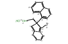 CCC1(c2cccc3ccccc23)C=c2ccccc2=[C]1[Zr].Cl.Cl